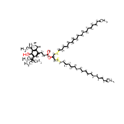 CCCCCCCCCCCCCCCCCCSCC(CSCCCCCCCCCCCCCCCCCC)OC(=O)CCc1cc(C(C)(C)C)c(O)c(CC)c1CC